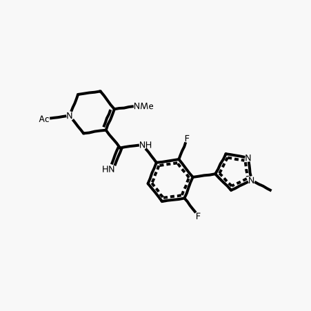 CNC1=C(C(=N)Nc2ccc(F)c(-c3cnn(C)c3)c2F)CN(C(C)=O)CC1